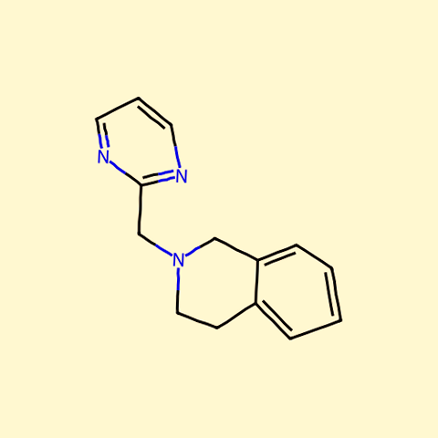 c1cnc(CN2CCc3ccccc3C2)nc1